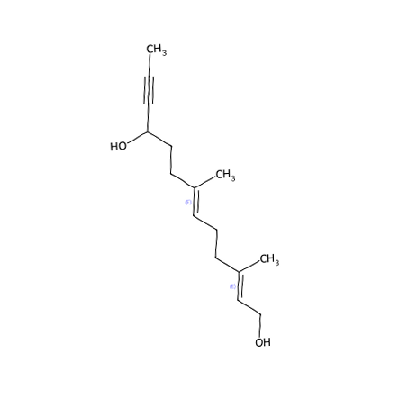 CC#CC(O)CC/C(C)=C/CC/C(C)=C/CO